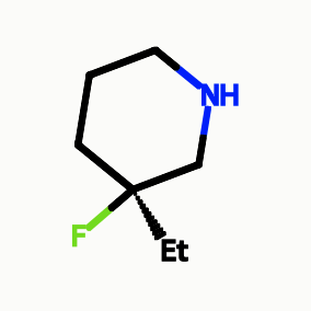 CC[C@]1(F)CCCNC1